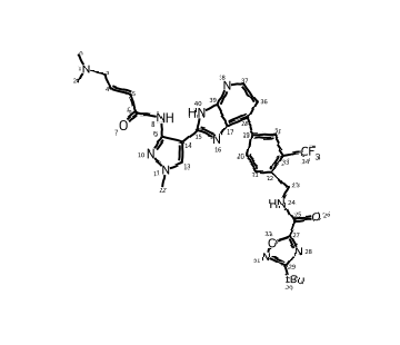 CN(C)C/C=C/C(=O)Nc1nn(C)cc1-c1nc2c(-c3ccc(CNC(=O)c4nc(C(C)(C)C)no4)c(C(F)(F)F)c3)ccnc2[nH]1